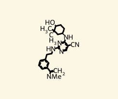 C=C(NC)c1cccc(CCNc2ncc(C#N)c(N[C@@H]3CC[C@H](O)C(C)(C)C3)n2)c1